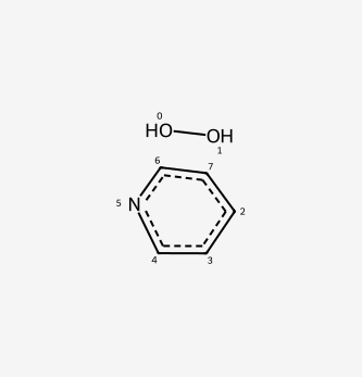 OO.c1ccncc1